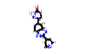 O=C1CCC(c2ccc3[nH]c(-c4ccncc4)nc3c2)=NN1